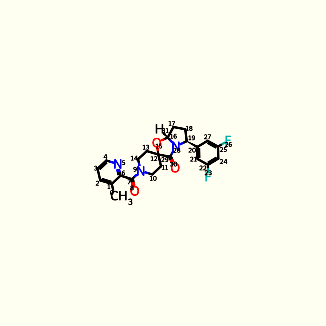 Cc1cccnc1C(=O)N1CCC2(CC1)O[C@@H]1CC[C@@H](c3cc(F)cc(F)c3)N1C2=O